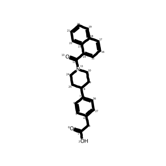 O=C(O)Cc1ccc(C2CCN(C(=O)c3cccc4ccccc34)CC2)cc1